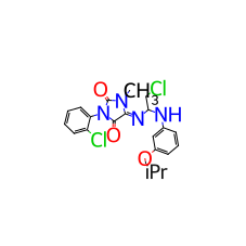 CC(C)Oc1cccc(NC(CCl)N=C2C(=O)N(c3ccccc3Cl)C(=O)N2C)c1